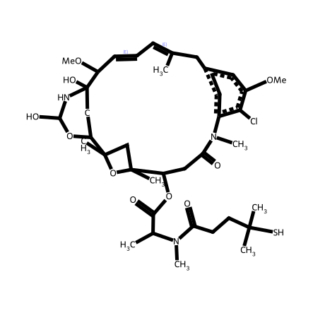 COc1cc2cc(c1Cl)N(C)C(=O)CC(OC(=O)C(C)N(C)C(=O)CCC(C)(C)S)C1(C)CC(C)(O1)C1CC(O)(NC(O)O1)C(OC)/C=C/C=C(\C)C2